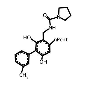 CCCCCc1cc(O)c(-c2cccc(C)c2)c(O)c1CNC(=O)N1CCCC1